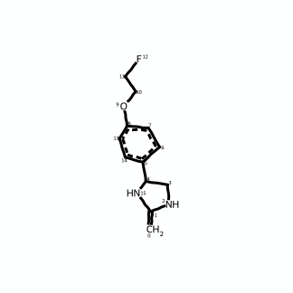 C=C1NCC(c2ccc(OCCF)cc2)N1